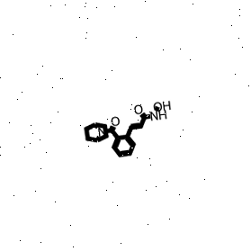 O=C(C=Cc1ccccc1C(=O)N1C2CCC1CC2)NO